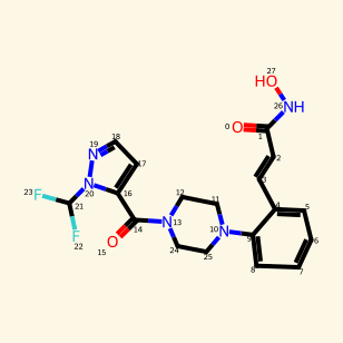 O=C(C=Cc1ccccc1N1CCN(C(=O)c2ccnn2C(F)F)CC1)NO